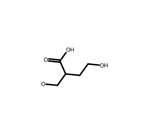 [O]CC(CCO)C(=O)O